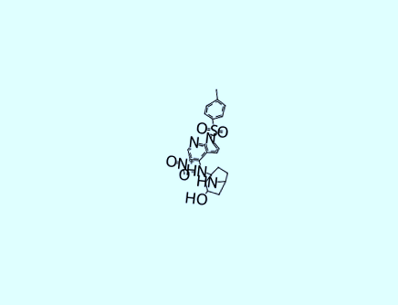 Cc1ccc(S(=O)(=O)n2ccc3c(NC45CCC(CC(O)C4)N5)c([N+](=O)[O-])cnc32)cc1